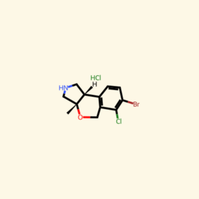 C[C@@]12CNC[C@@H]1c1ccc(Br)c(Cl)c1CO2.Cl